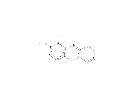 [Li][c]1c(C(=O)O)ccc2oc3ccccc3c(=O)c12